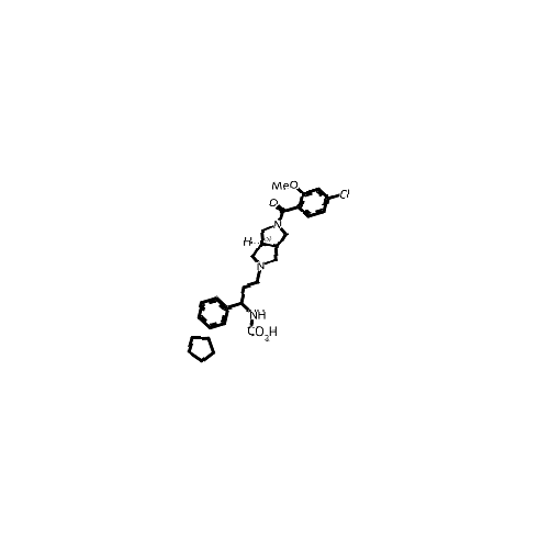 C1CCCC1.COc1cc(Cl)ccc1C(=O)N1CC2CN(CCC(NC(=O)O)c3ccccc3)C[C@H]2C1